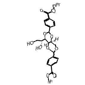 CCCOC(=O)c1ccc(C2OC[C@@H]3OC(c4ccc(C(=O)OCCC)cc4)O[C@H]([C@H](O)CO)[C@@H]3O2)cc1